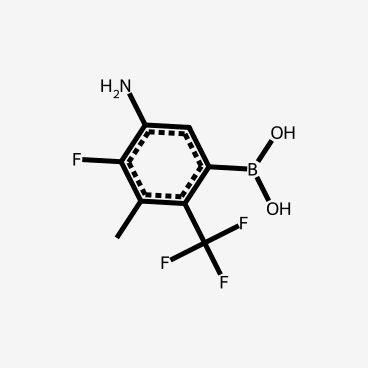 Cc1c(F)c(N)cc(B(O)O)c1C(F)(F)F